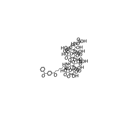 CO[C@@H]1C(C(=O)O)O[C@@H](O[C@H]2C(COS(=O)(=O)O)O[C@@H](O[C@@H]3C(C(=O)O)O[C@@H](O[C@H]4C(COS(=O)(=O)O)O[C@H](C)[C@@H](NOS(=O)O)C4O)C(OS(=O)(=O)O)[C@@H]3O)[C@@H](NC(=O)CCCCCC(=O)c3ccc(C(=O)c4ccccc4)cc3)C2O)C(OS(=O)(=O)O)[C@@H]1O